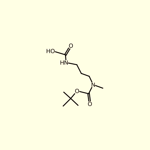 CN(CCCNC(=O)O)C(=O)OC(C)(C)C